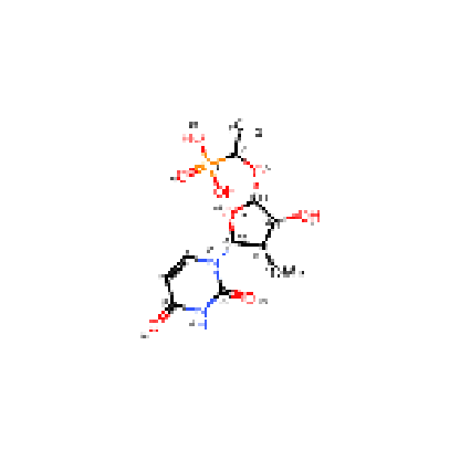 CO[C@@H]1[C@H](O)[C@@H](OC(C)P(=O)(O)O)O[C@H]1n1ccc(=O)[nH]c1=O